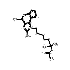 CCCCc1nc2c(N)nc3ccsc3c2n1CCCCCC(C)(C)OC(N)=O